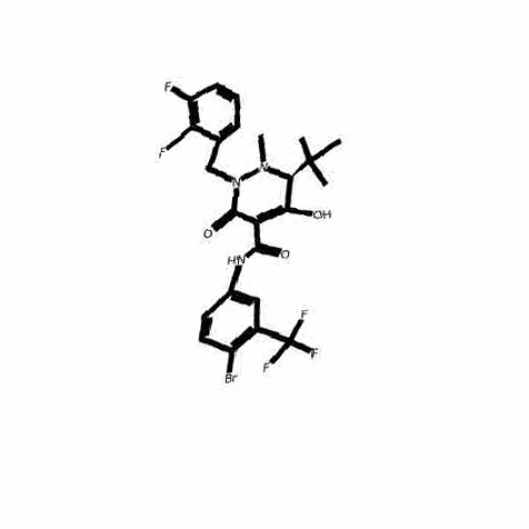 CN1[C@@H](C(C)(C)C)C(O)=C(C(=O)Nc2ccc(Br)c(C(F)(F)F)c2)C(=O)N1Cc1cccc(F)c1F